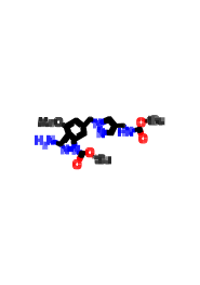 COc1cc(Cn2cc(CNC(=O)OC(C)(C)C)cn2)cc2c1c(N)nn2C(=O)OC(C)(C)C